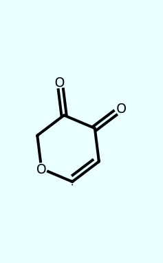 O=C1C=[C]OCC1=O